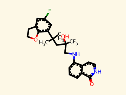 CC(C)(CC(O)(CNc1cccc2c(=O)[nH]ccc12)C(F)(F)F)c1cc(F)cc2c1OCC2